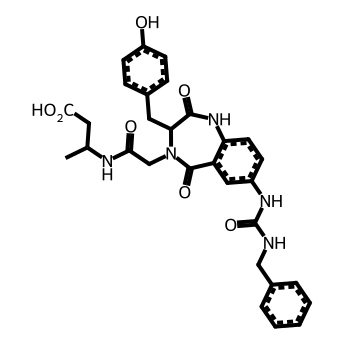 CC(CC(=O)O)NC(=O)CN1C(=O)c2cc(NC(=O)NCc3ccccc3)ccc2NC(=O)C1Cc1ccc(O)cc1